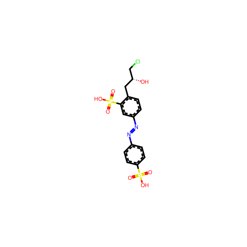 O=S(=O)(O)c1ccc(/N=N/c2ccc(C[C@@H](O)CCl)c(S(=O)(=O)O)c2)cc1